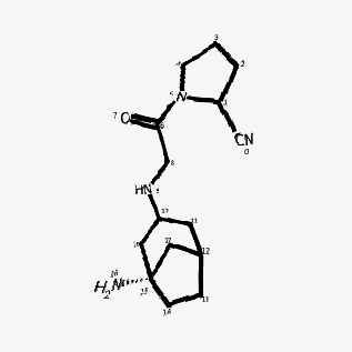 N#CC1CCCN1C(=O)CNC1CC2CC[C@](N)(C2)C1